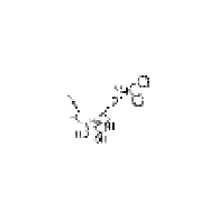 CC#CCC(C)CC=C(O)[C@@H]1[C@@H]2C[C@@H](CCOCC(=O)N(Cc3ccccc3)c3ccccc3)C[C@H]2C[C@H]1O